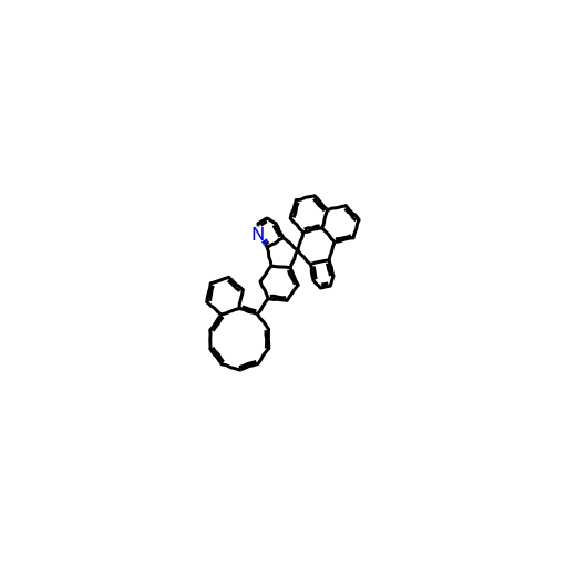 C1=C(c2cccccccc3ccccc23)CC2C(=C1)C1(c3ccccc3-c3cccc4cccc1c34)c1cccnc12